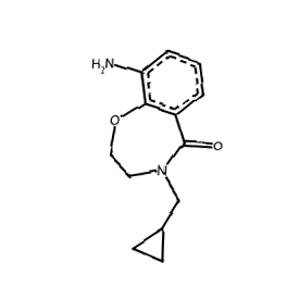 Nc1cccc2c1OCCN(CC1CC1)C2=O